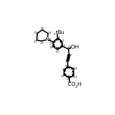 CC(C)(C)c1cc(C(O)C#Cc2ccc(C(=O)O)cc2)ccc1N1CCCCC1